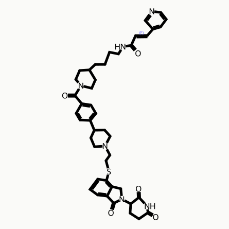 O=C(/C=C/c1cccnc1)NCCCCC1CCN(C(=O)c2ccc(C3CCN(CCSc4cccc5c4CN(C4CCC(=O)NC4=O)C5=O)CC3)cc2)CC1